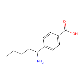 CCCCC(N)c1ccc(C(=O)O)cc1